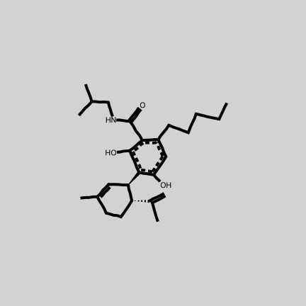 C=C(C)[C@@H]1CCC(C)=C[C@H]1c1c(O)cc(CCCCC)c(C(=O)NCC(C)C)c1O